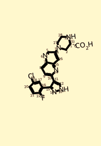 O=C(O)[C@@H]1CN(c2cnc3ccc(-c4c[nH]nc4-c4cc(Cl)ccc4F)nc3c2)CCN1